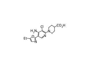 CCc1cnc(-c2cnc(N3CCC(C(=O)O)CC3)c(Cl)c2N)o1